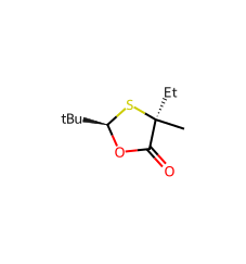 CC[C@@]1(C)S[C@H](C(C)(C)C)OC1=O